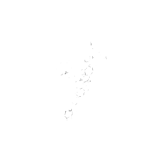 CC(C)CCN(CCC(C)C)C(=O)c1ccc2nc(-c3ccc(OCc4ccccc4)cc3)n(CCCN3CCCCC3)c2c1